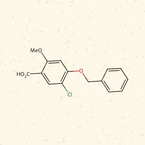 COc1cc(OCc2ccccc2)c(Cl)cc1C(=O)O